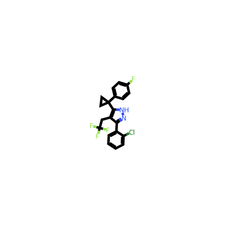 Fc1ccc(C2(c3[nH]nc(-c4ccccc4Cl)c3CC(F)(F)F)CC2)cc1